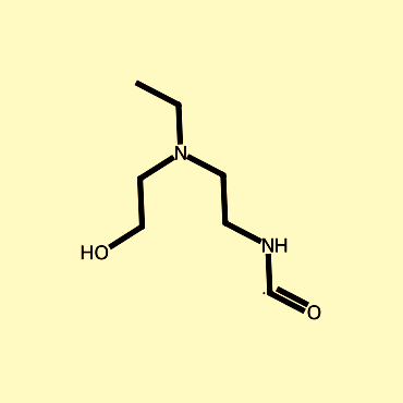 CCN(CCO)CCN[C]=O